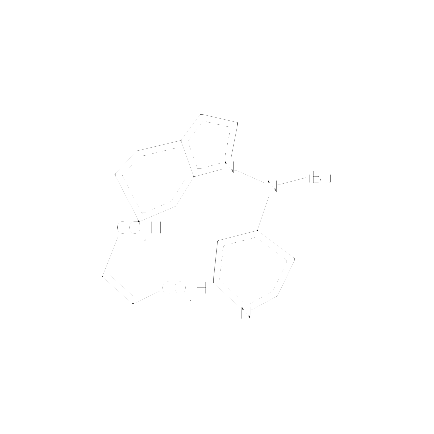 CCC(C)N(c1ccncc1)n1ccc2ccccc21.O=C(O)/C=C\C(=O)O